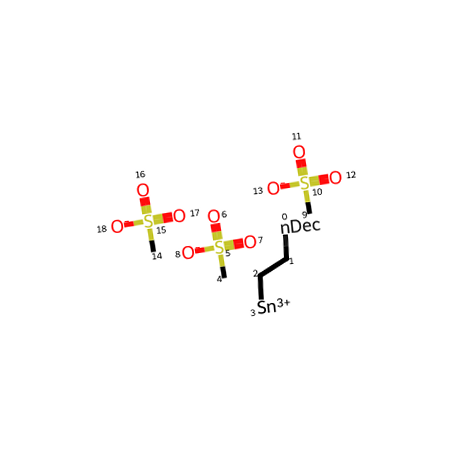 CCCCCCCCCCC[CH2][Sn+3].CS(=O)(=O)[O-].CS(=O)(=O)[O-].CS(=O)(=O)[O-]